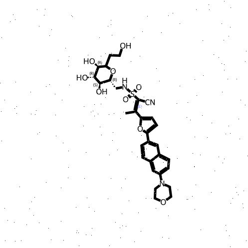 C/C(=C(/C#N)S(=O)(=O)NC[C@H]1OC(CCO)[C@H](O)[C@@H](O)[C@@H]1O)c1ccc(-c2ccc3cc(N4CCOCC4)ccc3c2)o1